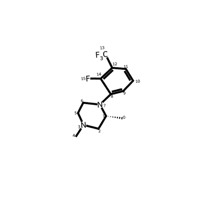 C[C@@H]1CN(C)CCN1c1cccc(C(F)(F)F)c1F